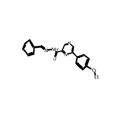 CCOc1ccc(-c2cncc(C(=O)N/N=C/c3ccccc3)n2)cc1